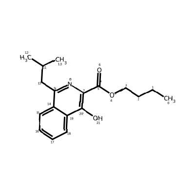 CCCCOC(=O)c1nc(CC(C)C)c2ccccc2c1O